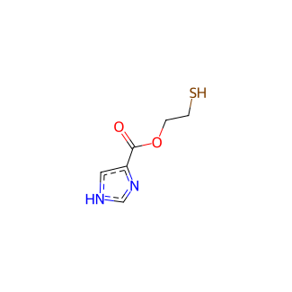 O=C(OCCS)c1c[nH]cn1